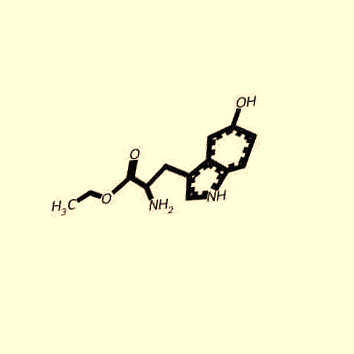 CCOC(=O)C(N)Cc1c[nH]c2ccc(O)cc12